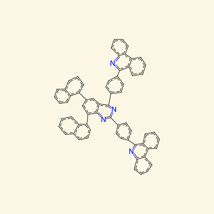 c1ccc2c(-c3cc(-c4cccc5ccccc45)c4nc(-c5ccc(-c6nc7ccccc7c7ccccc67)cc5)nc(-c5ccc(-c6nc7ccccc7c7ccccc67)cc5)c4c3)cccc2c1